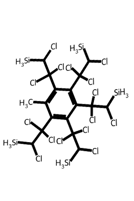 Cc1c(C(Cl)(Cl)C([SiH3])Cl)c(C(Cl)(Cl)C([SiH3])Cl)c(C(Cl)(Cl)C([SiH3])Cl)c(C(Cl)(Cl)C([SiH3])Cl)c1C(Cl)(Cl)C([SiH3])Cl